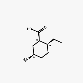 CC[C@H]1CC[C@@H](N)C[C@H]1C(=O)O